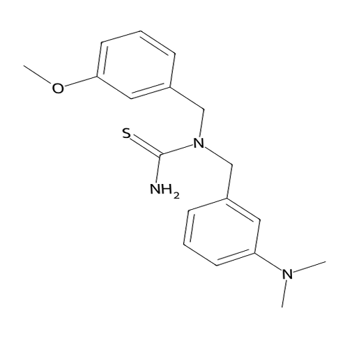 COc1cccc(CN(Cc2cccc(N(C)C)c2)C(N)=S)c1